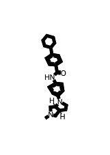 CN1C[C@@H]2CCN(c3ccc(NC(=O)c4ccc(C5CCCCC5)cc4)cc3)[C@@H]2C1